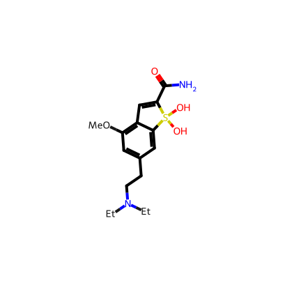 CCN(CC)CCc1cc(OC)c2c(c1)S(O)(O)C(C(N)=O)=C2